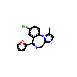 Cc1cnc2n1-c1ccc(Br)cc1C(c1ccco1)=NC2